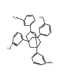 Nc1cccc(C23CC4(c5cccc(N)c5)CC(c5cccc(N)c5)(C2)CC(c2cccc(N)c2)(C3)C4)c1